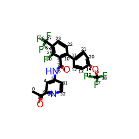 CC(=O)c1cc(NC(=O)c2c(-c3ccc(OC(F)(F)F)cc3)ccc(C(F)(F)F)c2F)ccn1